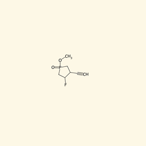 C#CC1CP(=O)(OC)CC1F